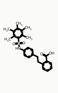 Cc1c(C)c(C)c(S(=O)(=O)Nc2ccc(CCc3ccccc3C(=O)O)cc2)c(C)c1C